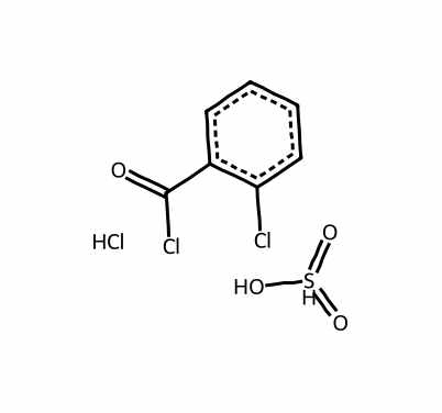 Cl.O=C(Cl)c1ccccc1Cl.O=[SH](=O)O